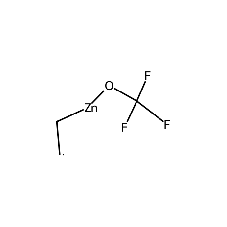 [CH2][CH2][Zn][O]C(F)(F)F